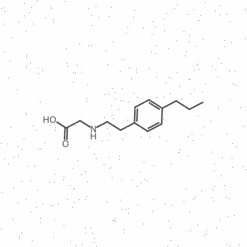 CCCc1ccc(CCNCC(=O)O)cc1